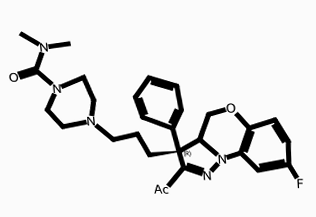 CC(=O)C1=NN2c3cc(F)ccc3OCC2[C@@]1(CCCN1CCN(C(=O)N(C)C)CC1)c1ccccc1